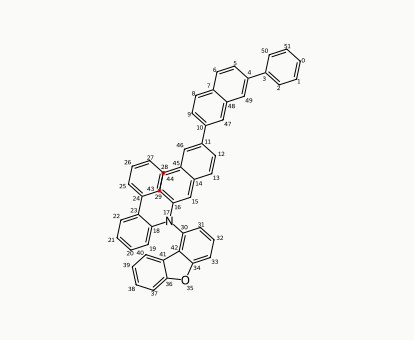 c1ccc(-c2ccc3ccc(-c4ccc5cc(N(c6ccccc6-c6ccccc6)c6cccc7oc8ccccc8c67)ccc5c4)cc3c2)cc1